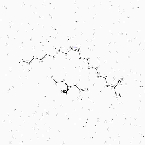 Br.C=CCNCCC.CCCCCCCC/C=C\CCCCCCCC(N)=O